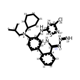 CC(C)CN(c1ccc(-c2ccccc2/C(N)=N/N=N)cc1Nc1nc(Cl)ns1)C1CCCCC1